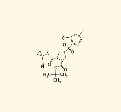 CC(C)(C)OC(=O)N1CC(S(=O)(=O)c2ccc(F)cc2Cl)CC1C(=O)NC1(C#N)CC1